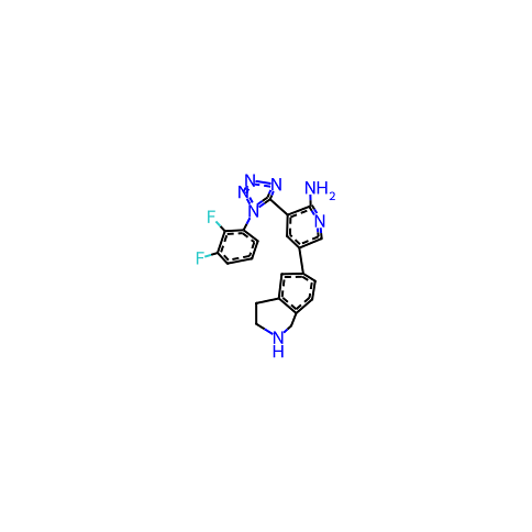 Nc1ncc(-c2ccc3c(c2)CCNC3)cc1-c1nnnn1-c1cccc(F)c1F